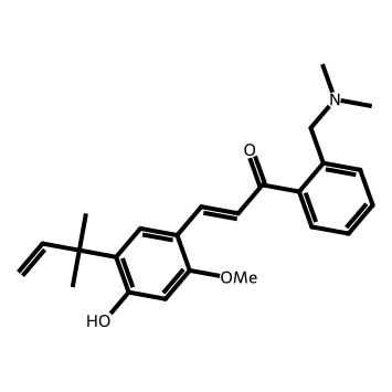 C=CC(C)(C)c1cc(C=CC(=O)c2ccccc2CN(C)C)c(OC)cc1O